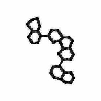 c1ccc2c(-c3ccc4ccc5ccc(-c6cccc7ccccc67)nc5c4n3)cccc2c1